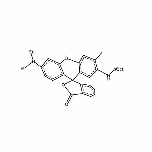 CCCCCCCCNc1cc2c(cc1C)Oc1cc(N(CC)CC)ccc1C21OC(=O)c2ccccc21